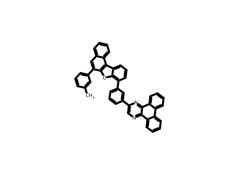 Cc1cccc(-c2cc3ccccc3c3c2oc2c(-c4cccc(-c5cnc6c7ccccc7c7ccccc7c6n5)c4)cccc23)c1